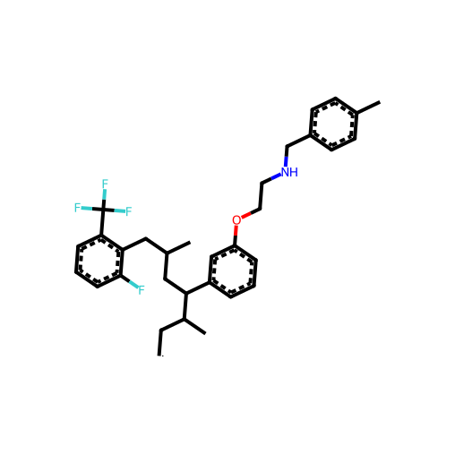 [CH2]CC(C)C(CC(C)Cc1c(F)cccc1C(F)(F)F)c1cccc(OCCNCc2ccc(C)cc2)c1